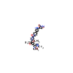 COc1cc(-c2cn(C)c(=O)c3c2cnn3C)cc(OC)c1CN1CCN(C(=O)CN2CCC(c3ccc(NC4CCC(=O)NC4=O)cc3)CC2)CC1